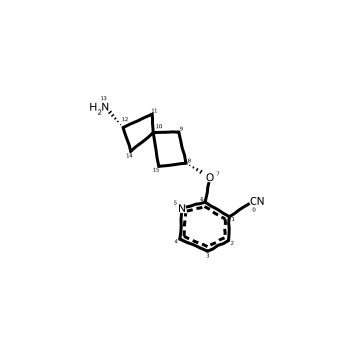 N#Cc1cccnc1O[C@H]1CC2(C[C@@H](N)C2)C1